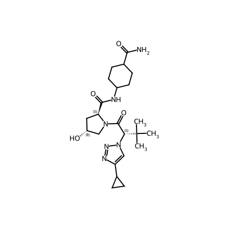 CC(C)(C)[C@@H](C(=O)N1C[C@H](O)C[C@H]1C(=O)NC1CCC(C(N)=O)CC1)n1cc(C2CC2)nn1